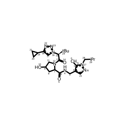 Cc1c(CNC(=O)C2CC(O)CN2C(=O)[C@@H](n2cc(C3CC3)nn2)C(C)(C)C)cnn1CC(C)C